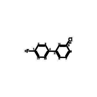 Fc1ccc(-c2cc[c]c(Cl)c2)cc1